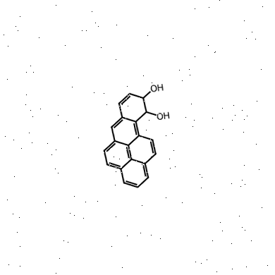 OC1C=Cc2cc3ccc4cccc5ccc(c2C1O)c3c45